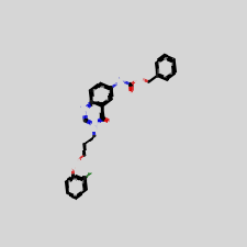 O=C(Nc1ccc2ncn(CCCOc3ccccc3F)c(=O)c2c1)OCc1ccccc1